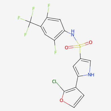 O=S(=O)(Nc1cc(F)c(C(F)(F)F)cc1F)c1c[nH]c(-c2ccoc2Cl)c1